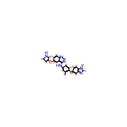 Cc1cc(Nc2ncnc3ccc(O[C@@H]4CCNC4)cc23)ccc1Oc1ccc2c(c1)ncn2C